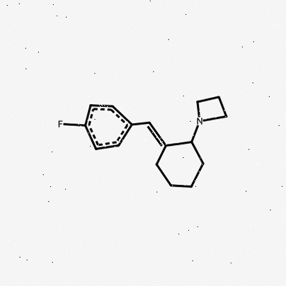 Fc1ccc(C=C2CCCCC2N2CCC2)cc1